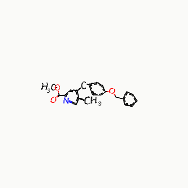 COC(=O)c1cc(Cc2ccc(OCc3ccccc3)cc2)c(C)cn1